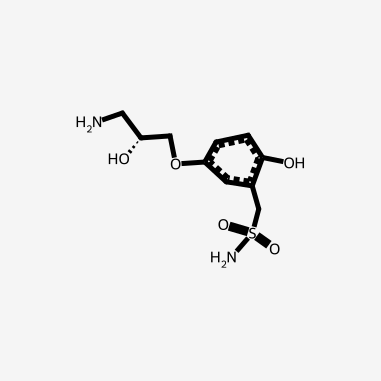 NC[C@@H](O)COc1ccc(O)c(CS(N)(=O)=O)c1